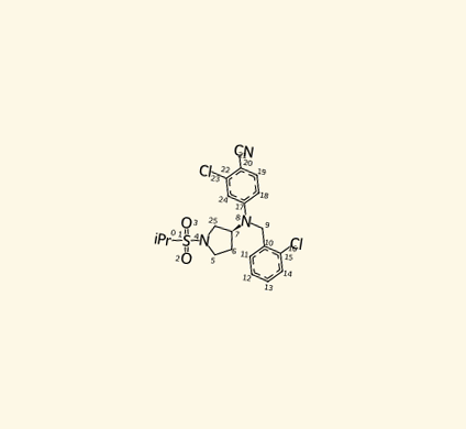 CC(C)S(=O)(=O)N1CC[C@H](N(Cc2ccccc2Cl)c2ccc(C#N)c(Cl)c2)C1